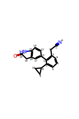 N#CCc1cccc(C2CC2)c1-c1ccc2c(c1)CC(=O)N2